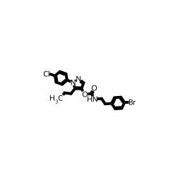 CCCc1c(OC(=O)NCCc2ccc(Br)cc2)cnn1-c1ccc(Cl)cc1